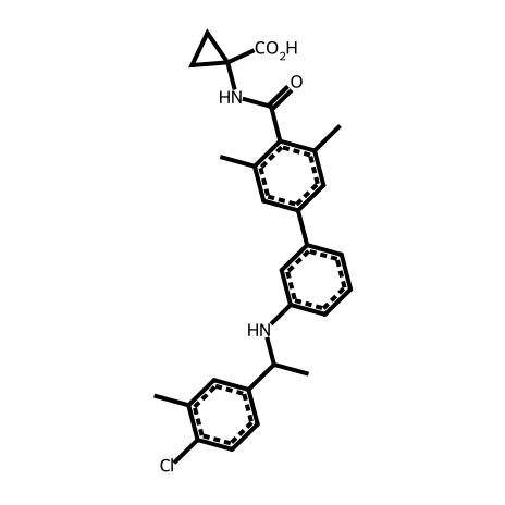 Cc1cc(C(C)Nc2cccc(-c3cc(C)c(C(=O)NC4(C(=O)O)CC4)c(C)c3)c2)ccc1Cl